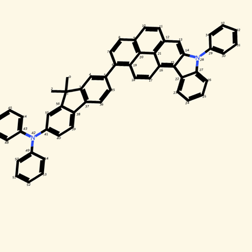 CC1(C)c2cc(-c3ccc4ccc5cc6c(c7ccc3c4c57)c3ccccc3n6-c3ccccc3)ccc2-c2ccc(N(c3ccccc3)c3ccccc3)cc21